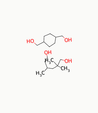 CC(CCO)CC(C)(C)CO.OCC1CCC(CO)CC1